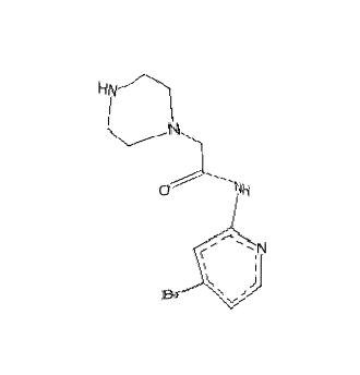 O=C(CN1CCNCC1)Nc1cc(Br)ccn1